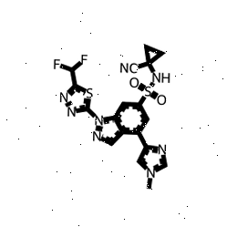 Cn1cnc(-c2cc(S(=O)(=O)NC3(C#N)CC3)cc3c2cnn3-c2nnc(C(F)F)s2)c1